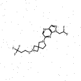 FC(F)Cn1ncc2ncc(N3CCC4(CN(SCCC(F)(F)F)C4)C3)nc21